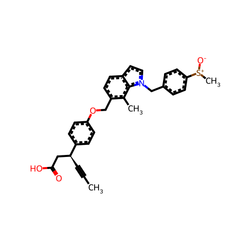 CC#C[C@@H](CC(=O)O)c1ccc(OCc2ccc3ccn(Cc4ccc([S+](C)[O-])cc4)c3c2C)cc1